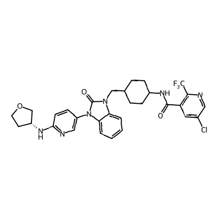 O=C(NC1CCC(Cn2c(=O)n(-c3ccc(N[C@@H]4CCOC4)nc3)c3ccccc32)CC1)c1cc(Cl)cnc1C(F)(F)F